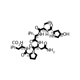 CC(C)C[C@H](NC(=O)[C@@H]1CCCN1C(=O)[C@H](CC(N)=O)NC(=O)[C@@H](NC(=O)[C@H](CC(C)C)NC(=O)[C@@H]1C[C@@H](O)CN1)C(C)C)C(=O)O